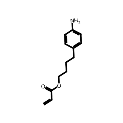 C=CC(=O)OCCCCc1ccc(N)cc1